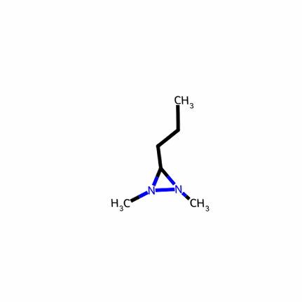 CCCC1N(C)N1C